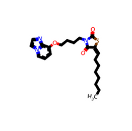 CCCCCCCC=C1SC(=O)N(CCCCOc2cccn3ccnc23)C1=O